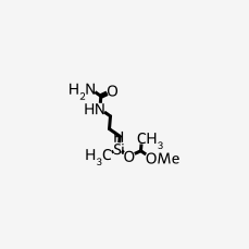 COC(C)O[SiH](C)CCCNC(N)=O